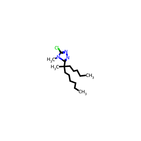 CCCCCCC(C)(CCCCC)c1nnc(Cl)n1C